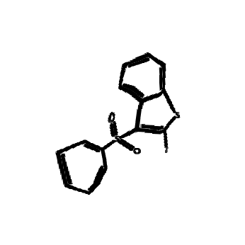 O=S(=O)(c1ccccc1)c1c(I)sc2ccccc12